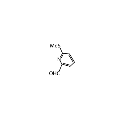 CSc1cccc(C=O)n1